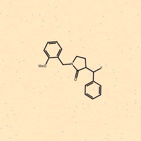 COc1ccccc1CN1CCC(C(F)c2ccccc2)C1=O